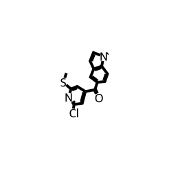 CSc1cc(C(=O)c2ccc3c(ccn3C)c2)cc(Cl)n1